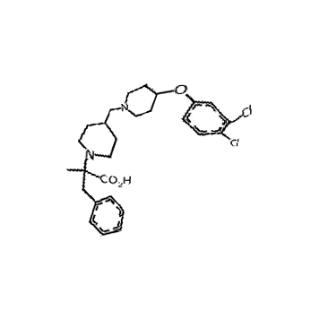 CC(Cc1ccccc1)(C(=O)O)N1CCC(CN2CCC(Oc3ccc(Cl)c(Cl)c3)CC2)CC1